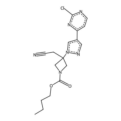 CCCCOC(=O)N1CC(CC#N)(n2cc(-c3ccnc(Cl)n3)cn2)C1